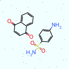 Nc1ccc(S(N)(=O)=O)cc1.O=C1C=CC(=O)c2ccccc21